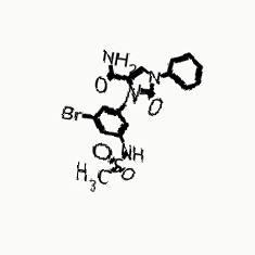 CS(=O)(=O)Nc1cc(Br)cc(-n2c(C(N)=O)cn(-c3ccccc3)c2=O)c1